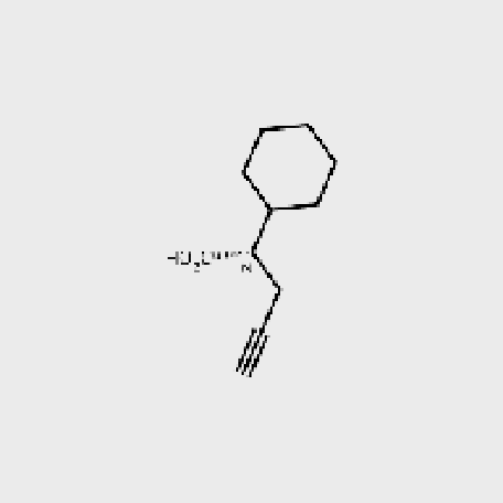 C#CC[C@H](C(=O)O)C1CCCCC1